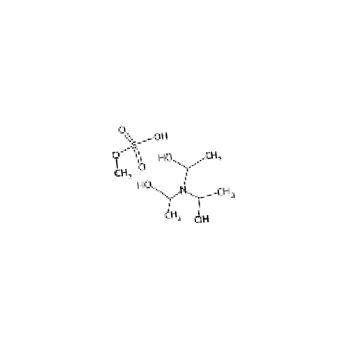 CC(O)N(C(C)O)C(C)O.COS(=O)(=O)O